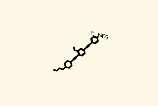 CCCCC1CCC(C#Cc2ccc(C#Cc3ccc(N=C=S)c(F)c3)cc2CC)CC1